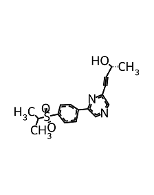 CC(C)S(=O)(=O)c1ccc(-c2cncc(C#C[C@@H](C)O)n2)cc1